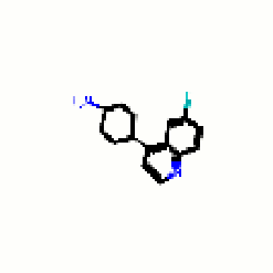 N[C@H]1CC[C@@H](c2ccnc3ccc(F)cc32)CC1